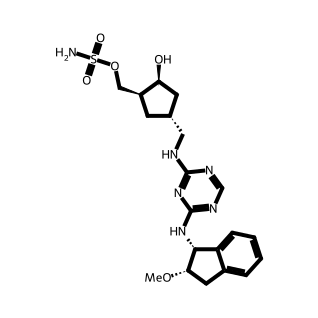 CO[C@H]1Cc2ccccc2[C@H]1Nc1ncnc(NC[C@@H]2C[C@@H](COS(N)(=O)=O)[C@@H](O)C2)n1